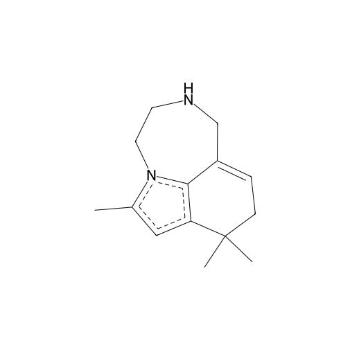 Cc1cc2c3n1CCNCC3=CCC2(C)C